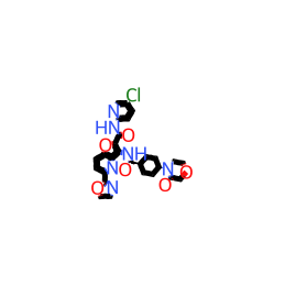 O=C(Nc1ccc(Cl)cn1)c1oc2ccc(C3=NCCO3)nc2c1NC(=O)[C@H]1CC[C@H](N2CCOCC2=O)CC1